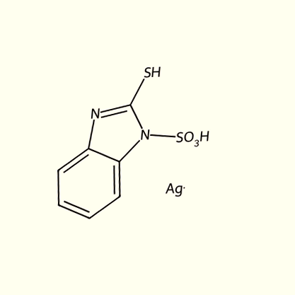 O=S(=O)(O)n1c(S)nc2ccccc21.[Ag]